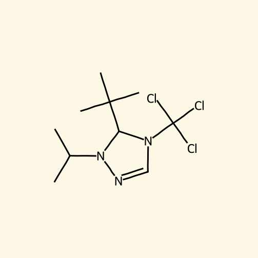 CC(C)N1N=CN(C(Cl)(Cl)Cl)C1C(C)(C)C